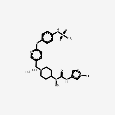 CCCCN(C(=O)Nc1cnn(CC)c1)C1CCN(Cc2ccc(Oc3ccc(NS(C)(=O)=O)cc3)nc2)CC1.Cl.Cl